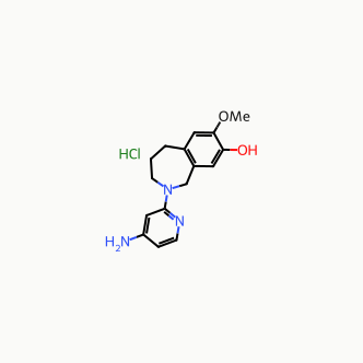 COc1cc2c(cc1O)CN(c1cc(N)ccn1)CCC2.Cl